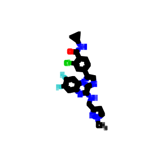 Cn1ccc(CNc2nc3cc(F)c(F)cc3n3c(-c4ccc(C(=O)NC5CC5)c(Cl)c4)cnc23)n1